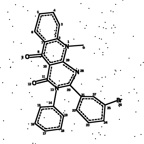 Cn1c2ccccc2c(=O)c2c(=O)n(-c3ccccc3)c(-c3cccc(Br)c3)nc21